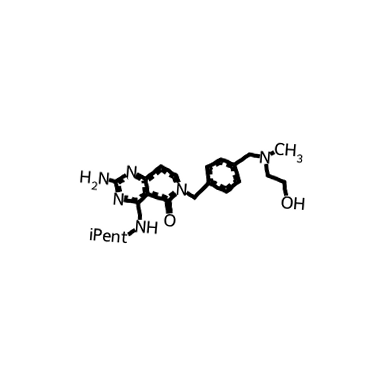 CCCC(C)Nc1nc(N)nc2ccn(Cc3ccc(CN(C)CCO)cc3)c(=O)c12